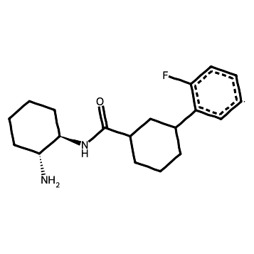 N[C@@H]1CCCC[C@H]1NC(=O)C1CCCC(c2c[c]ccc2F)C1